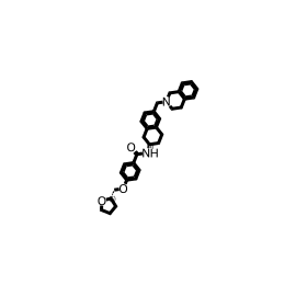 O=C(N[C@H]1CCc2cc(CN3CCc4ccccc4C3)ccc2C1)c1ccc(OC[C@@H]2CCCO2)cc1